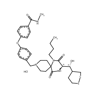 CCCCN1C(=O)[C@@H]([C@H](O)C2CCSCC2)NC(=O)C12CCN(Cc1ccc(Oc3ccc(C(=O)NC)cc3)cc1)CC2.Cl